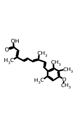 COc1cc(C)c(C=CC(C)=CC=CC(C)=CC(=O)O)c(C)c1C